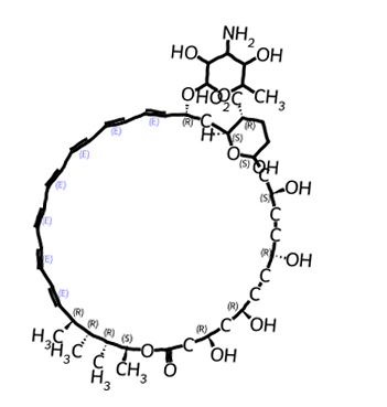 CC1OC(O[C@H]2/C=C/C=C/C=C/C=C/C=C/C=C/C=C/[C@H](C)[C@@H](C)[C@@H](C)[C@H](C)OC(=O)C[C@H](O)C[C@H](O)CC[C@@H](O)CC[C@H](O)C[C@]3(O)CC[C@@H](C(=O)O)[C@H](C2)O3)C(O)C(N)C1O